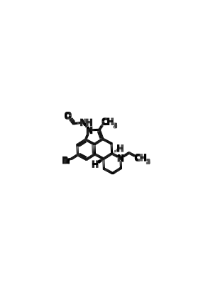 CCN1CCC[C@@H]2c3cc(Br)cc4c3c(c(C)n4NC=O)C[C@H]21